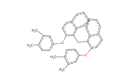 Cc1ccc(Oc2ccc3ccccc3c2Cc2c(Oc3ccc(C)c(C)c3)ccc3ccccc23)cc1C